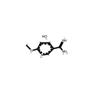 COc1ccc(C(=N)N)cn1.Cl